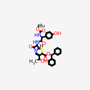 CC(O)C1=CN2C(=O)C(NC(=O)C(NC(=O)OC(C)(C)C)c3ccc(O)cc3)[C@H]2SC1C(=O)OC(c1ccccc1)c1ccccc1